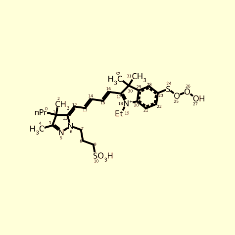 CCCC1(C)C(C)=NN(CCCS(=O)(=O)O)\C1=C/C=C/C=C/C1=[N+](CC)c2ccc(SOOO)cc2C1(C)C